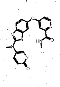 CNC(=O)c1cc(Oc2ccc3nc(N(C)c4ccc(=O)[nH]c4)sc3c2)ccn1